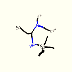 [CH2]CC(N[Si](C)(C)C)N(CC)C(C)C